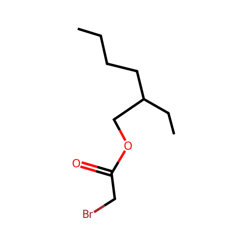 CCCCC(CC)COC(=O)CBr